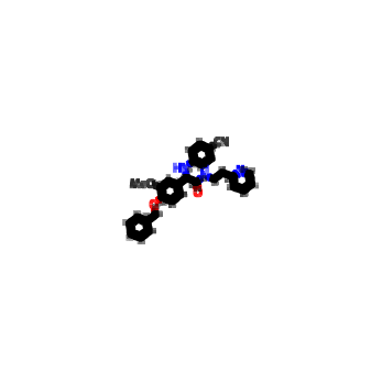 COc1cc(C(Nc2ccc(C#N)cc2)C(=O)NCCc2ccccn2)ccc1OCc1ccccc1